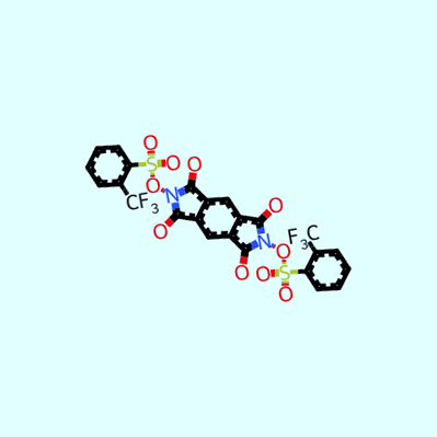 O=c1c2cc3c(=O)n(OS(=O)(=O)c4ccccc4C(F)(F)F)c(=O)c3cc2c(=O)n1OS(=O)(=O)c1ccccc1C(F)(F)F